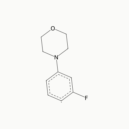 Fc1[c]ccc(N2CCOCC2)c1